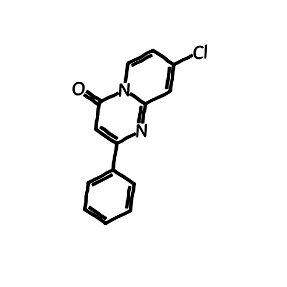 O=c1cc(-c2ccccc2)nc2cc(Cl)ccn12